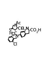 CC(=O)N1CC(=S)C[C@H]1C(=O)O.CN(Cc1c(Cl)cccc1Cl)c1ccc(C[C@H](N)C(=O)O)cc1